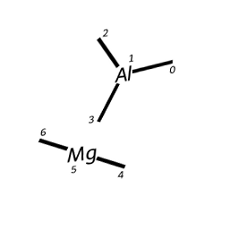 [CH3][Al]([CH3])[CH3].[CH3][Mg][CH3]